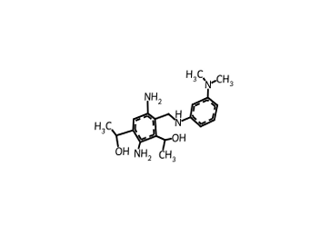 CC(O)c1cc(N)c(CNc2cccc(N(C)C)c2)c(C(C)O)c1N